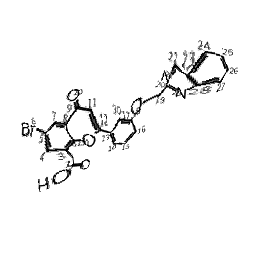 O=C(O)c1cc(Br)cc2c(=O)cc(-c3cccc(OCc4ncc5ccccc5n4)c3)oc12